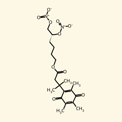 CC1=C(C)C(=O)C(C(C)(C)CC(=O)OCCCC[C@H](CO[N+](=O)[O-])O[N+](=O)[O-])=C(C)C1=O